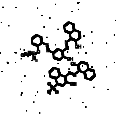 COc1ccccc1N=Nc1ccc(O)c(N=Nc2c(O)ccc3ccccc23)c1.O=S(=O)([O-])c1cc(O)c(N=Nc2c([O-])ccc3ccccc23)c2ccccc12.[Cr].[Na+].[Na+]